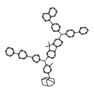 Cc1cc(C23CC4CC(CC(C4)C2)C3)ccc1N(c1ccc(-c2ccc(-c3ccccc3)cc2)cc1)c1ccc2c(c1)C(C)(C)c1cc(N(c3ccc(-c4ccccc4)cc3)c3ccc(-c4cccc5ccccc45)cc3)ccc1-2